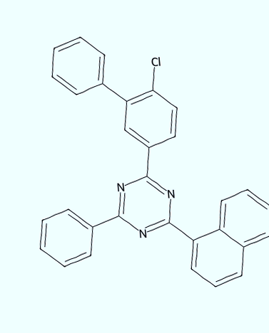 Clc1ccc(-c2nc(-c3ccccc3)nc(-c3cccc4ccccc34)n2)cc1-c1ccccc1